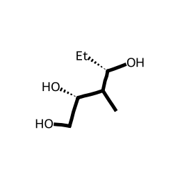 CC[C@H](O)C(C)[C@@H](O)CO